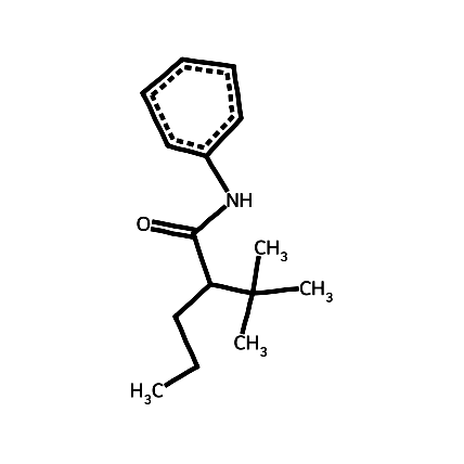 CCCC(C(=O)Nc1ccccc1)C(C)(C)C